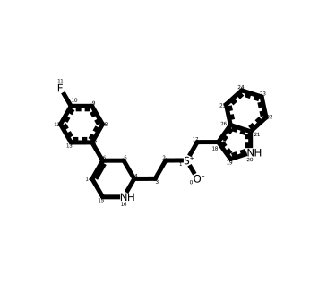 [O-][S+](CCC1CC(c2ccc(F)cc2)=CCN1)Cc1c[nH]c2ccccc12